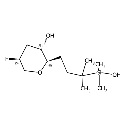 CC(C)(CC[C@H]1OC[C@@H](F)C[C@@H]1O)[Si](C)(C)O